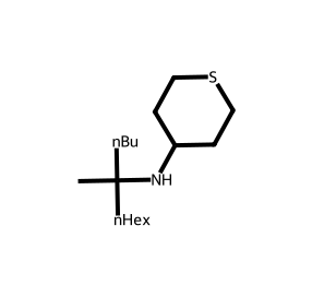 CCCCCCC(C)(CCCC)NC1CCSCC1